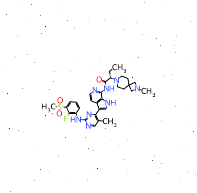 CC[C@H](C(=O)Nc1nccc2c(-c3nc(Nc4cccc(S(C)(=O)=O)c4F)ncc3C)c[nH]c12)N1CCC2(CC1)CN(C)C2